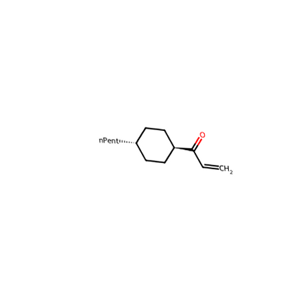 C=CC(=O)[C@H]1CC[C@H](CCCCC)CC1